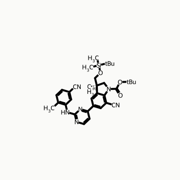 Cc1ccc(C#N)cc1Nc1nccc(-c2cc(C#N)c3c(c2)[C@@](C)(CO[Si](C)(C)C(C)(C)C)CN3C(=O)OC(C)(C)C)n1